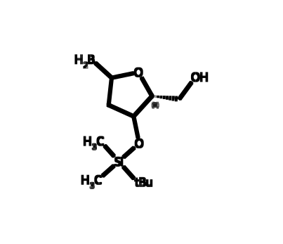 BC1CC(O[Si](C)(C)C(C)(C)C)[C@@H](CO)O1